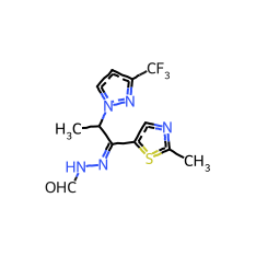 Cc1ncc(C(=NNC=O)C(C)n2ccc(C(F)(F)F)n2)s1